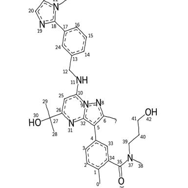 Cc1ccc(-c2c(C)nn3c(NCc4cccc(-c5nccn5C)c4)cc(C(C)(C)O)nc23)cc1C(=O)N(C)CCCO